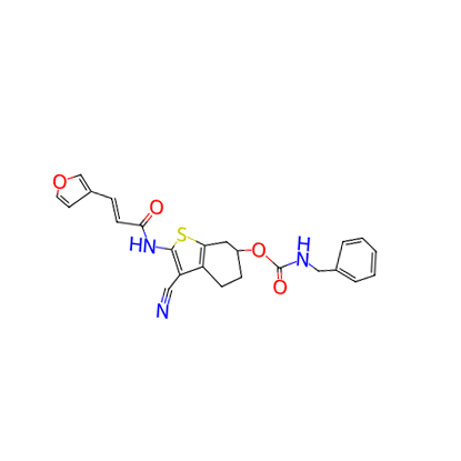 N#Cc1c(NC(=O)C=Cc2ccoc2)sc2c1CCC(OC(=O)NCc1ccccc1)C2